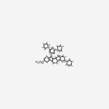 COc1ccc2c(c1)c1ccc3c4cc(-c5ccccc5)ccc4sc3c1n2-c1nc(-c2ccccc2)nc(-c2ccccc2)n1